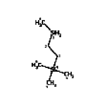 C[SiH2]CC[Si](C)(C)C